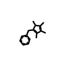 CC1=C(C)C(C)C(Cc2ccccc2)=C1C